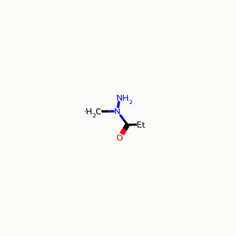 [CH2]N(N)C(=O)CC